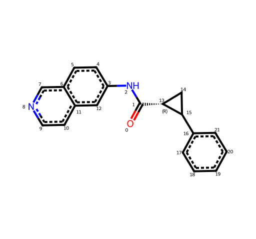 O=C(Nc1ccc2cnccc2c1)[C@@H]1CC1c1ccccc1